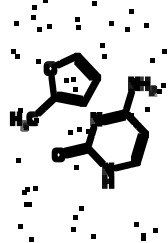 Cc1ccco1.Nc1cc[nH]c(=O)n1